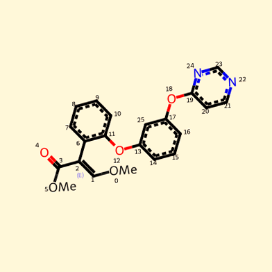 CO/C=C(/C(=O)OC)c1ccccc1Oc1cccc(Oc2ccncn2)c1